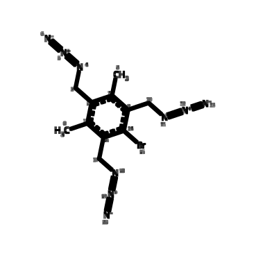 Cc1c(CN=[N+]=[N-])c(C)c(CN=[N+]=[N-])c(Br)c1CN=[N+]=[N-]